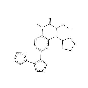 CCC1C(=O)N(C)c2cnc(-c3cn[nH]c3-c3cscn3)nc2N1C1CCCC1